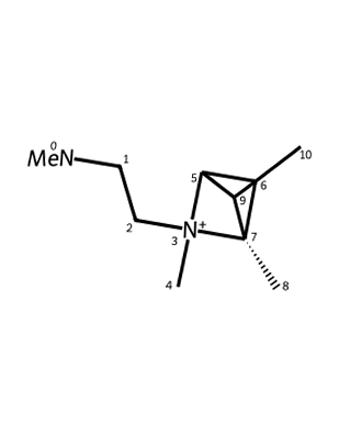 CNCC[N+]1(C)C2C[C@]1(C)C2C